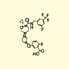 O=C(O)c1cc(O[C@@H]2CCN([C@@H]3CC[C@@](C(=O)NCc4cc(F)cc(C(F)(F)F)c4)(C4CC4)OC3)C2)ccc1F